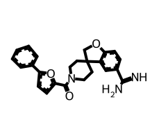 N=C(N)c1ccc2c(c1)C1(CCN(C(=O)c3ccc(-c4ccccc4)o3)CC1)CO2